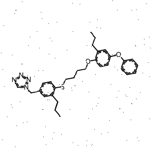 CCCc1cc(Oc2ccccc2)ccc1OCCCCSc1ccc(Cn2cnnn2)cc1CCC